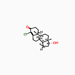 C[C@]12CCC(=O)C(Cl)=C1CC[C@@H]1[C@@H]2CC[C@]2(C)[C@H](O)C[C@@H]3C[C@]312